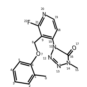 Cc1ccccc1OCc1c(-n2nnn(C)c2=O)ccnc1F